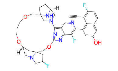 C#Cc1c(F)ccc2cc(O)cc(-c3ncc4c5nc(nc4c3F)OC[C@]34C[C@@H](F)CN3C[C@@H](C4)OCCCOC[C@@]34CC[C@@H](CN5C3)N4)c12